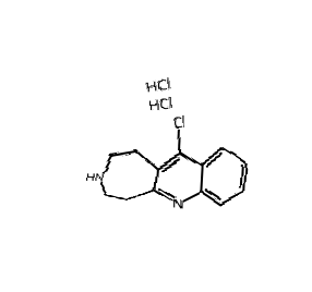 Cl.Cl.Clc1c2c(nc3ccccc13)CCNCC2